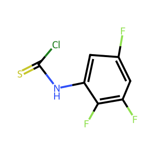 Fc1cc(F)c(F)c(NC(=S)Cl)c1